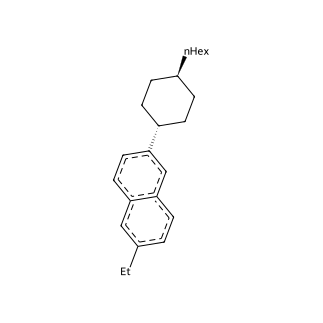 CCCCCC[C@H]1CC[C@H](c2ccc3cc(CC)ccc3c2)CC1